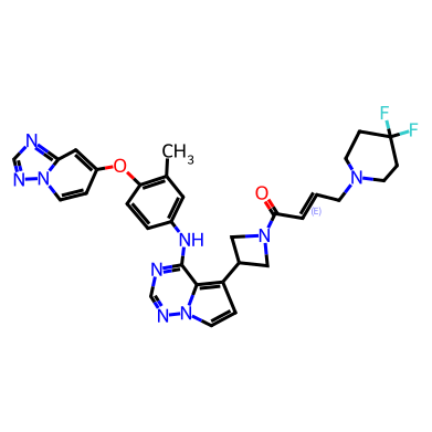 Cc1cc(Nc2ncnn3ccc(C4CN(C(=O)/C=C/CN5CCC(F)(F)CC5)C4)c23)ccc1Oc1ccn2ncnc2c1